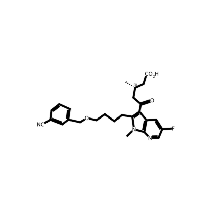 C[C@H](CC(=O)O)CC(=O)c1c(CCCCOCc2cccc(C#N)c2)n(C)c2ncc(F)cc12